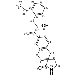 O=C(c1ccc2c(c1)CC[C@]1(CCNC1=O)C2)N(O)Cc1ccccc1OC(F)(F)F